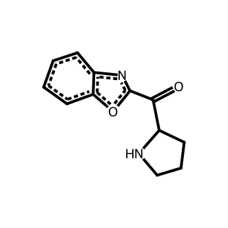 O=C(c1nc2ccccc2o1)C1CCCN1